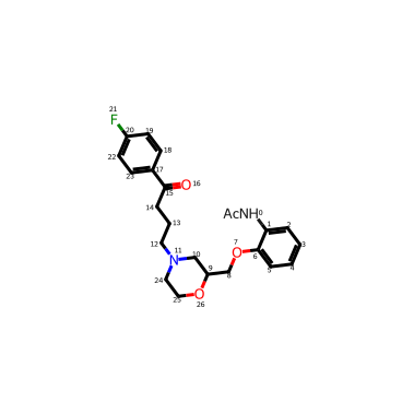 CC(=O)Nc1ccccc1OCC1CN(CCCC(=O)c2ccc(F)cc2)CCO1